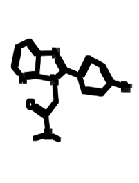 CN(C)C(=O)Cn1c(-c2ccc(Br)cc2)nc2cccnc21